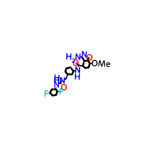 COc1ccc(C(=O)Nc2cccc(CNC(=O)Nc3cc(F)ccc3F)c2)c2c(N)noc12